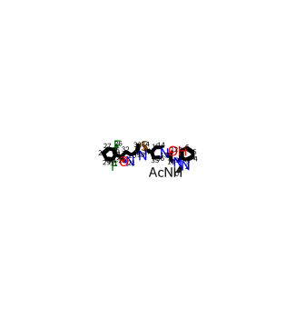 CC(=O)Nc1nc2ccccc2n1CC(O)N1CCC(c2nc(C3=NOC(c4c(F)cccc4F)C3)cs2)CC1